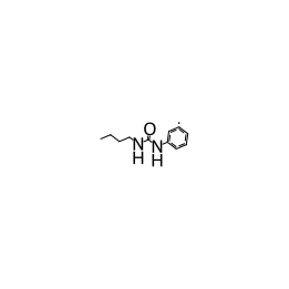 CCCCNC(=O)Nc1c[c]ccc1